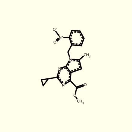 COC(=O)c1nc(C2CC2)nc2c1cc(C)n2Cc1ccccc1[N+](=O)[O-]